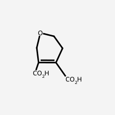 O=C(O)C1=C(C(=O)O)COCC1